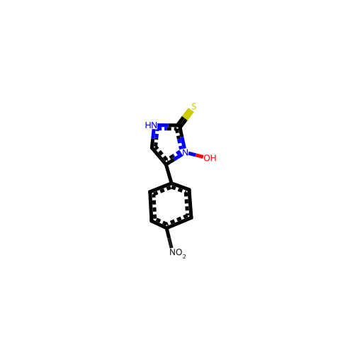 O=[N+]([O-])c1ccc(-c2c[nH]c(=S)n2O)cc1